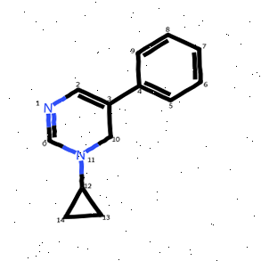 [C]1=NC=C(c2ccccc2)CN1C1CC1